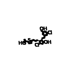 C=C(O)c1ccc(CCC[C@@H]2[C@@H](CCc3cc(Cl)cc(CO)c3)[C@H](O)C[C@H]2Cl)s1